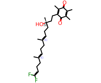 CC1=C(C)C(=O)C(CC[C@@](C)(O)CC/C=C(\C)CC/C=C(\C)CCC=C(F)F)=C(C)C1=O